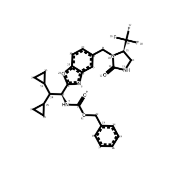 O=C(N[C@H](c1nc2cc(CN3C(=O)NC[C@@H]3C(F)(F)F)ccc2o1)C(C1CC1)C1CC1)OCc1ccccc1